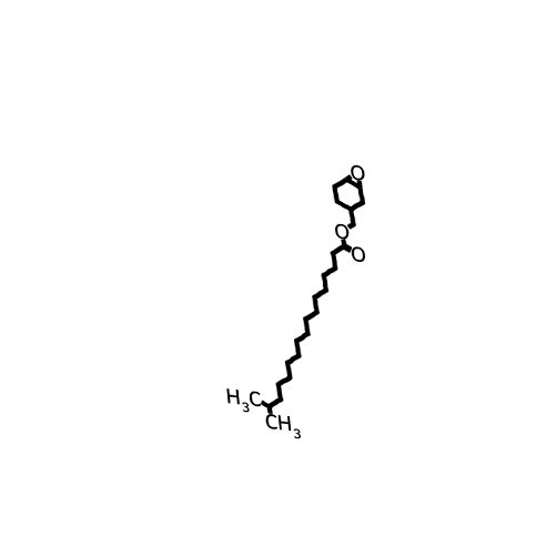 CC(C)CCCCCCCCCCCCCCC(=O)OCC1CCC2OC2C1